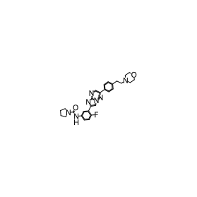 O=C(Nc1ccc(F)c(-c2cn3nc(-c4ccc(CCN5CCOCC5)cc4)cnc3n2)c1)N1CCCC1